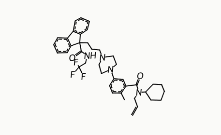 C=CCN(C(=O)c1cc(N2CCN(CCCC3(C(=O)NCC(F)(F)F)c4ccccc4-c4ccccc43)CC2)ccc1C)C1CCCCC1